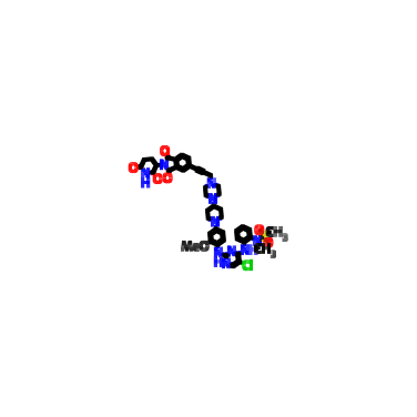 COc1cc(N2CCC(N3CCN(CC#Cc4ccc5c(c4)C(=O)N(C4CCC(=O)NC4=O)C5=O)CC3)CC2)ccc1Nc1ncc(Cl)c(Nc2ccccc2N(C)S(C)(=O)=O)n1